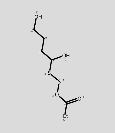 CCC(=O)OSSC(O)CCCO